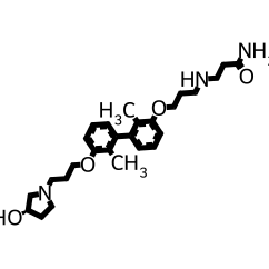 Cc1c(OCCCNCCC(N)=O)cccc1-c1cccc(OCCCN2CC[C@@H](O)C2)c1C